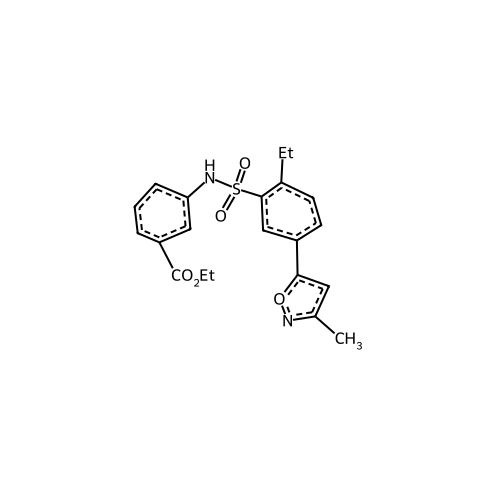 CCOC(=O)c1cccc(NS(=O)(=O)c2cc(-c3cc(C)no3)ccc2CC)c1